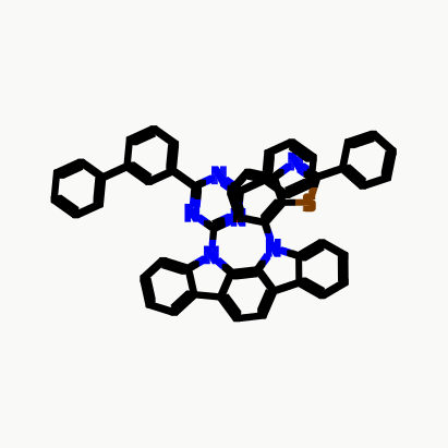 c1ccc(-c2cccc(-c3nc(-c4ccccc4)nc(-n4c5ccccc5c5ccc6c7ccccc7n(-c7cccc8nc(-c9ccccc9)sc78)c6c54)n3)c2)cc1